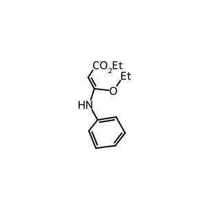 CCOC(=O)C=C(Nc1ccccc1)OCC